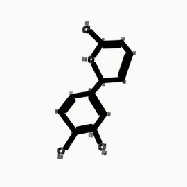 ClC1=CC=CC(c2ccc(Cl)c(Cl)c2)O1